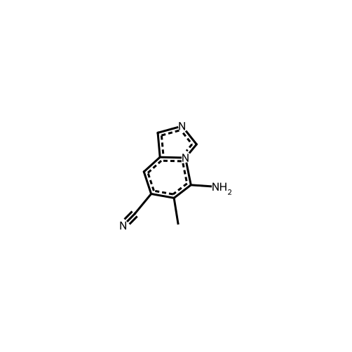 Cc1c(C#N)cc2cncn2c1N